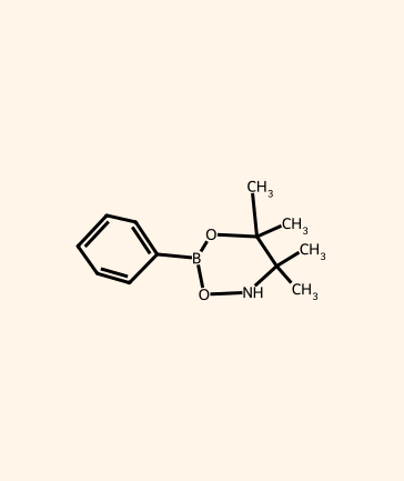 CC1(C)NOB(c2ccccc2)OC1(C)C